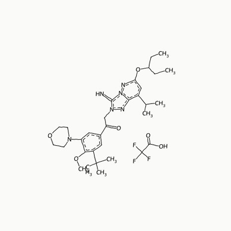 CCC(CC)Oc1cc(C(C)C)c2nn(CC(=O)c3cc(N4CCOCC4)c(OC)c(C(C)(C)C)c3)c(=N)n2n1.O=C(O)C(F)(F)F